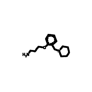 NCCCOc1ccccc1CN1CCCCC1